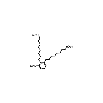 CCCCCCCCCCCCCCCCCCc1cccc(NC)c1CCCCCCCCCCCCCCCCCC